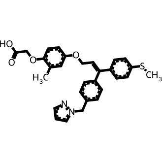 CSc1ccc(/C(=C/COc2ccc(OCC(=O)O)c(C)c2)c2ccc(Cn3cccn3)cc2)cc1